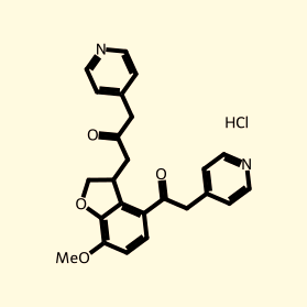 COc1ccc(C(=O)Cc2ccncc2)c2c1OCC2CC(=O)Cc1ccncc1.Cl